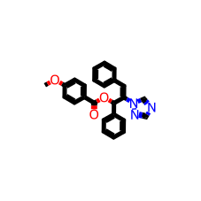 COc1ccc(C(=O)OC(/C(=C\c2ccccc2)n2cncn2)c2ccccc2)cc1